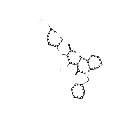 COc1ccc(Sc2c(O)c3c(=O)n(Cc4ccccc4)c4ccccc4c3oc2=O)cc1